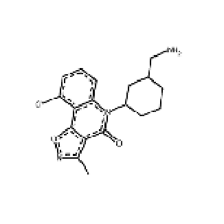 Cc1noc2c1c(=O)n(C1CCCC(CN)C1)c1cccc(Cl)c21